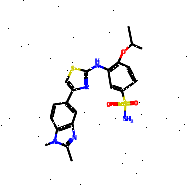 Cc1nc2cc(-c3csc(Nc4cc(S(N)(=O)=O)ccc4OC(C)C)n3)ccc2n1C